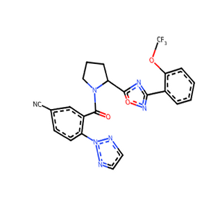 N#Cc1ccc(-n2nccn2)c(C(=O)N2CCCC2c2nc(-c3ccccc3OC(F)(F)F)no2)c1